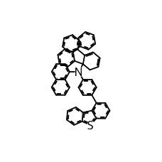 C1=CCC(c2ccccc2-c2ccccc2)(N(c2ccc(-c3cccc4sc5ccccc5c34)cc2)c2cccc3ccccc23)C(c2ccccc2)=C1